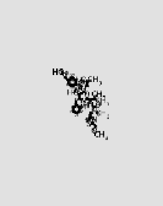 COCc1nc(CN(C)C(=O)N[C@H](C(=O)N[C@@H](Cc2ccccc2)[C@@H](O)CN(CC(C)C)S(=O)(=O)c2ccc(C=NO)cc2)C(C)C)cs1